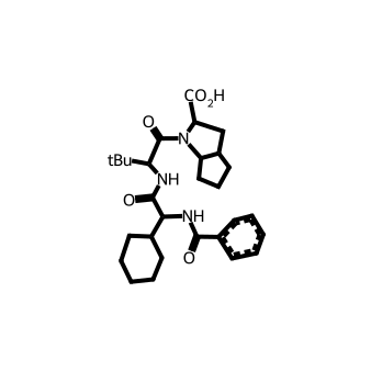 CC(C)(C)C(NC(=O)C(NC(=O)c1ccccc1)C1CCCCC1)C(=O)N1C(C(=O)O)CC2CCCC21